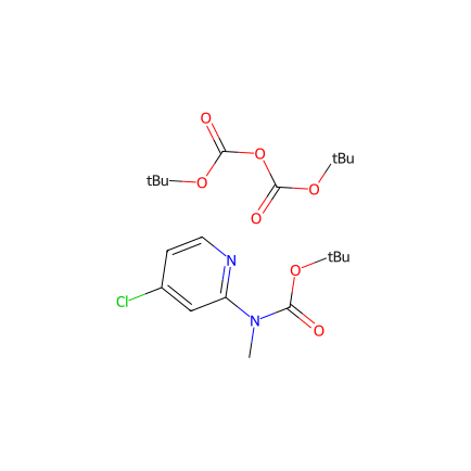 CC(C)(C)OC(=O)OC(=O)OC(C)(C)C.CN(C(=O)OC(C)(C)C)c1cc(Cl)ccn1